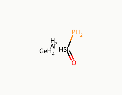 O=[SiH]P.[AlH3].[GeH4]